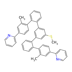 CSc1cc(-c2ccccc2-c2ccc(-c3ccccn3)cc2C)cc(-c2ccccc2-c2ccc(-c3ccccn3)cc2C)c1